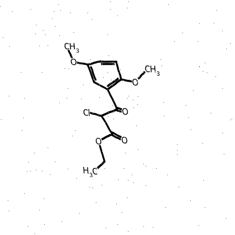 CCOC(=O)C(Cl)C(=O)c1cc(OC)ccc1OC